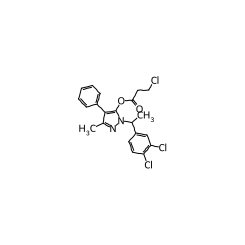 Cc1nn(C(C)c2ccc(Cl)c(Cl)c2)c(OC(=O)CCCl)c1-c1ccccc1